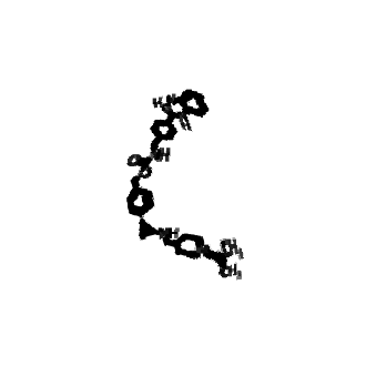 CC(C)N1CCC(CN[C@H]2C[C@@H]2c2ccc(COC(=O)NCc3ccc(C(=O)Nc4ccccc4N)cc3)cc2)CC1